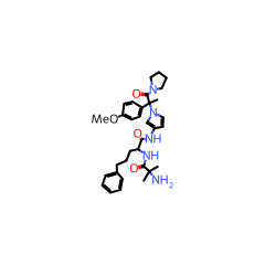 COc1ccc(C(C)(C(=O)N2CCCC2)n2ccc(NC(=O)C(CCCc3ccccc3)NC(=O)C(C)(C)N)c2)cc1